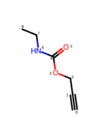 C#CCOC(=O)NC[CH2]